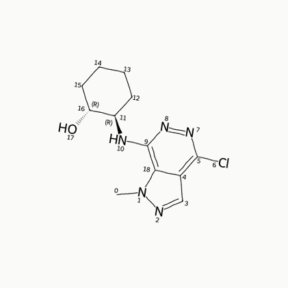 Cn1ncc2c(Cl)nnc(N[C@@H]3CCCC[C@H]3O)c21